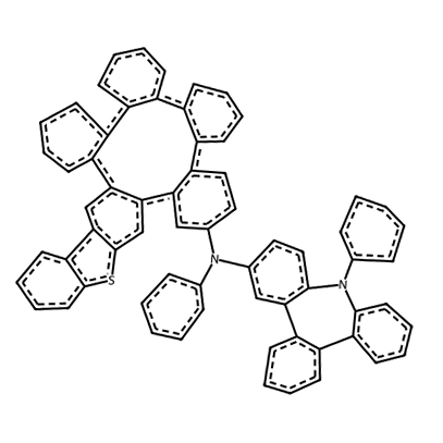 c1ccc(N(c2ccc3c(c2)-c2ccccc2-c2ccccc2N3c2ccccc2)c2ccc3c4ccccc4c4ccccc4c4ccccc4c4cc5c(cc4c3c2)sc2ccccc25)cc1